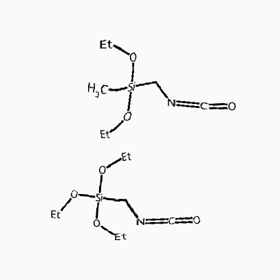 CCO[Si](C)(CN=C=O)OCC.CCO[Si](CN=C=O)(OCC)OCC